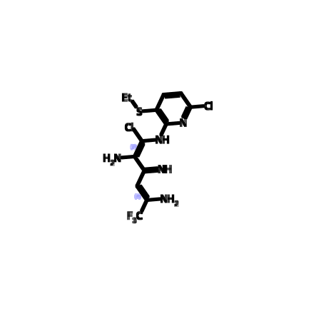 CCSc1ccc(Cl)nc1N/C(Cl)=C(/N)C(=N)/C=C(\N)C(F)(F)F